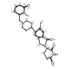 Cn1c(CN2CCC(c3cc4c(cc3F)C(=O)N(C3CCC(=O)NC3=O)C4)CC2)cccc1=O